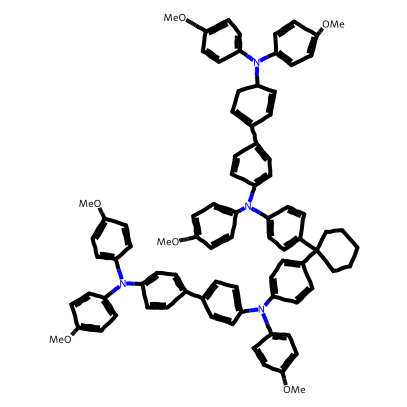 COc1ccc(N(c2ccc(OC)cc2)c2ccc(-c3ccc(N(c4ccc(OC)cc4)c4ccc(C5(c6ccc(N(c7ccc(OC)cc7)c7ccc(C8=CCC(N(c9ccc(OC)cc9)c9ccc(OC)cc9)C=C8)cc7)cc6)CCCCC5)cc4)cc3)cc2)cc1